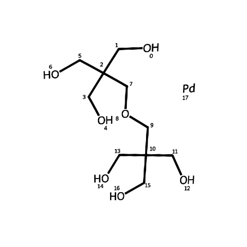 OCC(CO)(CO)COCC(CO)(CO)CO.[Pd]